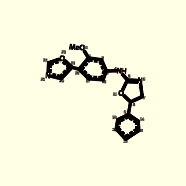 COc1cc(NC2=NCC(c3ccccc3)O2)ccc1-c1cnco1